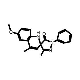 COc1ccc2c(c1)C(C)=CC1(N2)C(=O)N(c2ccccc2)N=C1C